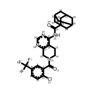 O=C(c1cc(C(F)(F)F)ccc1Cl)N1CCc2c(ncnc2NC(=O)C23CC4CC(CC(C4)C2)C3)C1